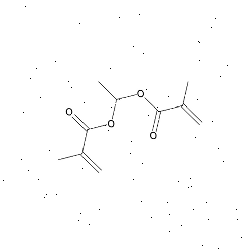 C=C(C)C(=O)O[C](C)OC(=O)C(=C)C